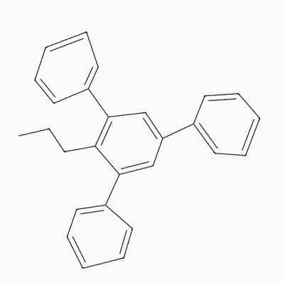 CCCc1c(-c2ccccc2)cc(-c2ccccc2)cc1-c1ccccc1